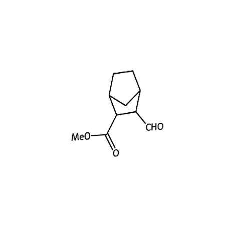 COC(=O)C1C2CCC(C2)C1C=O